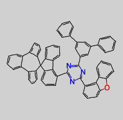 c1ccc(-c2cc(-c3ccccc3)cc(-c3nc(-c4cccc5c4-c4ccccc4C54c5ccccc5-c5ccccc5-c5ccccc54)nc(-c4cccc5oc6ccccc6c45)n3)c2)cc1